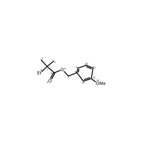 CCC(C)(C)C(=O)OCc1cccc(OC)c1